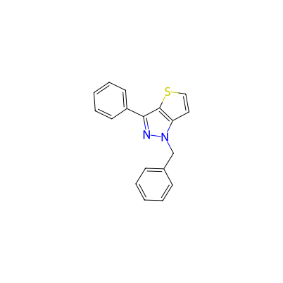 c1ccc(Cn2nc(-c3ccccc3)c3sccc32)cc1